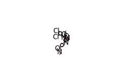 CCN1CCOC(c2ccc(-c3cc(N(Cc4ccc(Cl)cc4Cl)C(=O)OC(C)(C)C)n4nccc4n3)cc2)C1